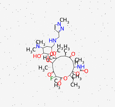 CC[C@H]1OC(=O)[C@@](C)(F)C(=O)[C@H](C)[C@@H](O[C@@H]2OC(CNCc3ccn(C)n3)CC(N(C)C)C2O)[C@](C)(OC)C[C@@H](C)C(=O)[C@H](C)[C@H]2NC(=O)O[C@@]21C